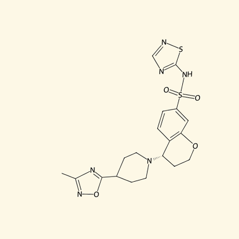 Cc1noc(C2CCN([C@H]3CCOc4cc(S(=O)(=O)Nc5ncns5)ccc43)CC2)n1